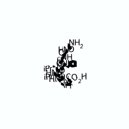 CC(C)C[C@H](NC(=O)[C@H](Cc1ccccc1)NC(=O)[C@H](C)NC(=O)CNC(=O)CN)C(=O)N[C@H](C(=O)N[C@@H](CC(C)C)C(=O)N1CCC[C@H]1C(=O)O)C(C)C